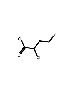 O=C(Cl)C(Cl)CCBr